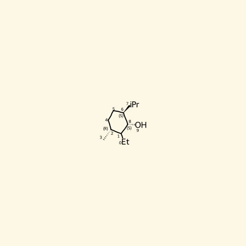 CCC1[C@H](C)CC[C@@H](C(C)C)[C@@H]1O